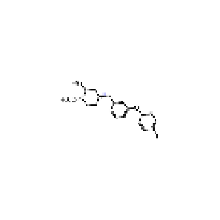 CC(C)(C)C1C/C(=C/c2cccc(Oc3ccc(F)cn3)c2)CCN1C(=O)O